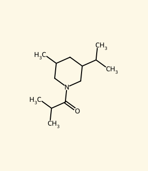 CC1CC(C(C)C)CN(C(=O)C(C)C)C1